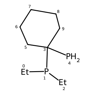 CCP(CC)C1(P)CCCCC1